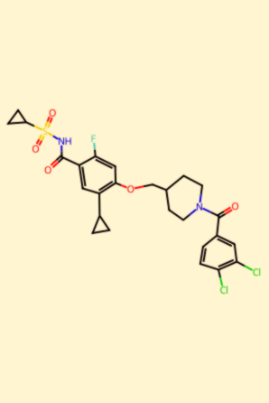 O=C(NS(=O)(=O)C1CC1)c1cc(C2CC2)c(OCC2CCN(C(=O)c3ccc(Cl)c(Cl)c3)CC2)cc1F